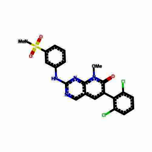 CNS(=O)(=O)c1cccc(Nc2ncc3cc(-c4c(Cl)cccc4Cl)c(=O)n(OC)c3n2)c1